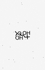 CC(CO)OCC(O)CC(C)(C)C